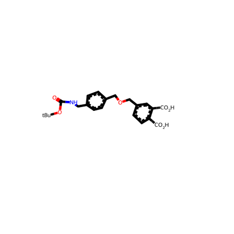 CC(C)(C)OC(=O)NCc1ccc(COCc2ccc(C(=O)O)c(C(=O)O)c2)cc1